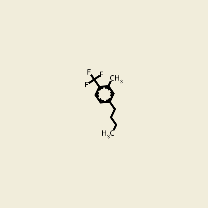 CCCCc1ccc(C(F)(F)F)c(C)c1